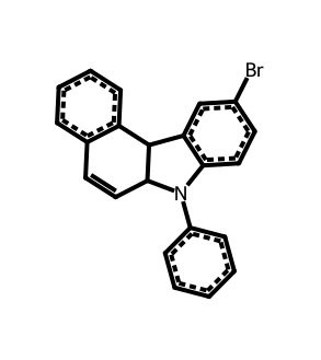 Brc1ccc2c(c1)C1c3ccccc3C=CC1N2c1ccccc1